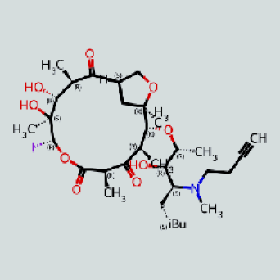 C#CCCN(C)[C@@H](C[C@@H](C)CC)[C@@H](O)[C@@H](C)O[C@@H]1[C@@H](C)C(=O)[C@@H](C)C(=O)O[C@H](I)[C@@](C)(O)[C@H](O)[C@@H](C)C(=O)[C@@H]2CO[C@]1(C)C2